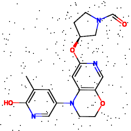 Cc1cc(N2CCOc3cnc(O[C@H]4CCN(C=O)C4)cc32)cnc1O